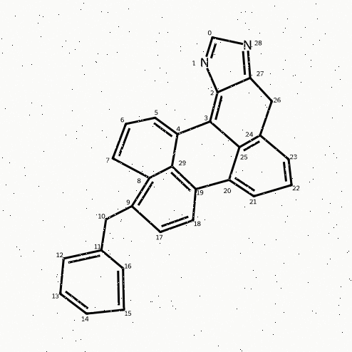 C1=NC2=c3c4cccc5c(Cc6ccccc6)ccc(c6cccc(c36)CC2=N1)c54